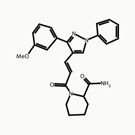 COc1cccc(-c2nn(-c3ccccc3)cc2C=CC(=O)N2CCCCC2C(N)=O)c1